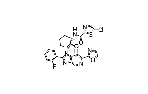 O=C(N[C@H]1CCC[C@@H](n2c(-c3ccccc3F)nc3cnc(-c4ncco4)cc32)[C@@H]1O)c1ncc(Cl)s1